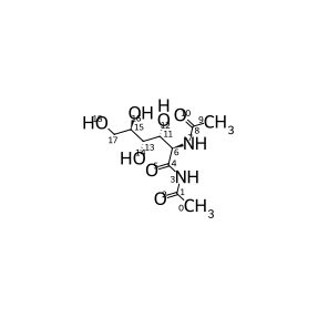 CC(=O)NC(=O)[C@H](NC(C)=O)[C@@H](O)[C@H](O)[C@H](O)CO